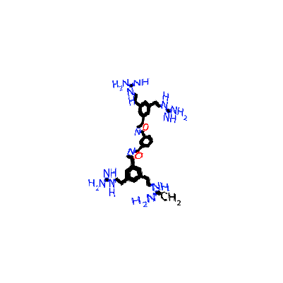 C=C(N)NCCc1cc(CCNC(=N)N)cc(-c2cnc(-c3cccc(-c4ncc(-c5cc(CCNC(=N)N)cc(CCNC(=N)N)c5)o4)c3)o2)c1